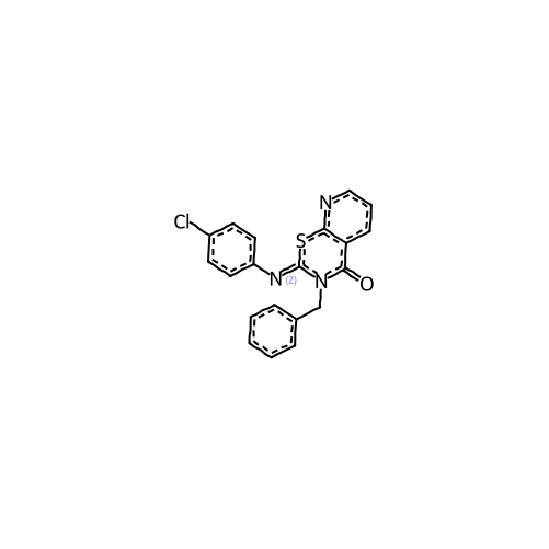 O=c1c2cccnc2s/c(=N\c2ccc(Cl)cc2)n1Cc1ccccc1